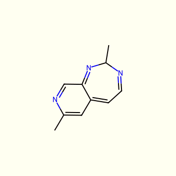 Cc1cc2c(cn1)=NC(C)N=CC=2